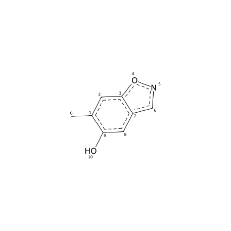 Cc1cc2oncc2cc1O